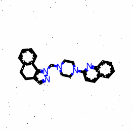 c1ccc2c(c1)CCc1cnn(CN3CCN(c4ccc5ccccc5n4)CC3)c1-2